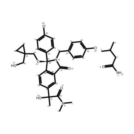 CC(C)CC(N)=O.CN(C)C(=O)C(C)(O)c1ccc2c(c1)C(=O)N(Cc1ccc(Cl)cc1)[C@@]2(OCC1(CO)CC1)c1ccc(Cl)cc1